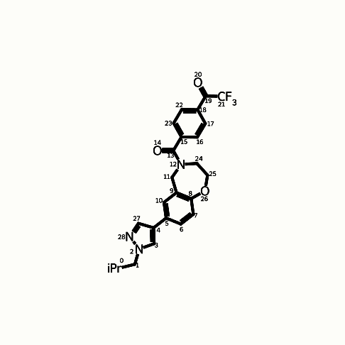 CC(C)Cn1cc(-c2ccc3c(c2)CN(C(=O)c2ccc(C(=O)C(F)(F)F)cc2)CCO3)cn1